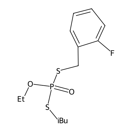 CCOP(=O)(SCc1ccccc1F)SC(C)CC